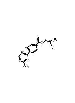 Cc1ccnc(-c2ccc(C(=O)NCC(C)C)cc2)c1